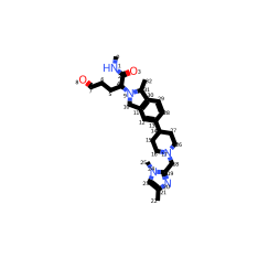 CNC(=O)C(CCC=O)N1Cc2cc(C3CCN(Cc4nc(C)cn4C)CC3)ccc2C1C